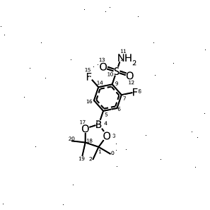 CC1(C)OB(c2cc(F)c(S(N)(=O)=O)c(F)c2)OC1(C)C